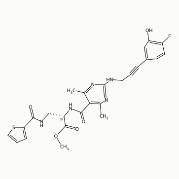 COC(=O)[C@H](CNC(=O)c1cccs1)NC(=O)c1c(C)nc(NCC#Cc2ccc(F)c(O)c2)nc1C